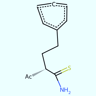 CC(=O)[C@H](CCc1ccccc1)C(N)=S